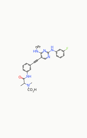 CCCNc1nc(Nc2cccc(F)c2)ncc1C#Cc1cccc(NC(=O)C(C)N(C)C(=O)O)c1